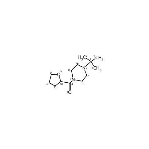 CC(C)(C)N1CCN(C(=O)C2CCCO2)CC1